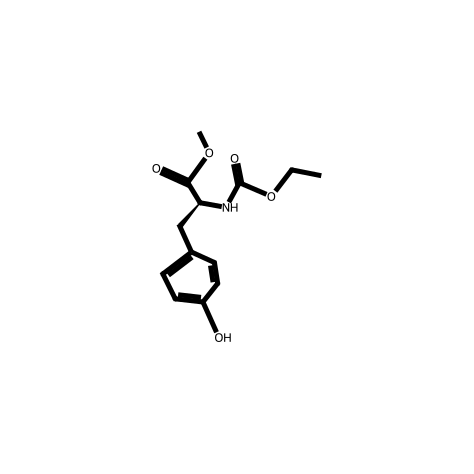 CCOC(=O)N[C@@H](Cc1ccc(O)cc1)C(=O)OC